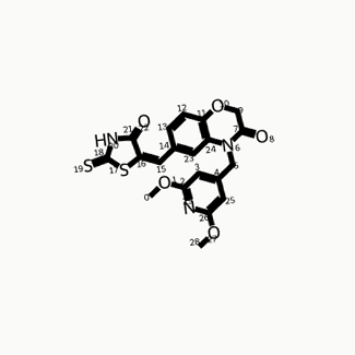 COc1cc(CN2C(=O)COc3ccc(C=C4SC(=S)NC4=O)cc32)cc(OC)n1